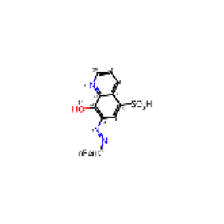 CCCCC/N=N/c1cc(S(=O)(=O)O)c2cccnc2c1O